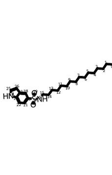 CCCCCCCCCCCCCCCCNS(=O)(=O)c1ccc2[nH]ccc2c1